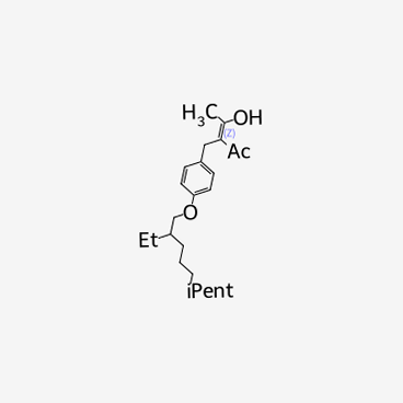 CCCC(C)CCCC(CC)COc1ccc(C/C(C(C)=O)=C(\C)O)cc1